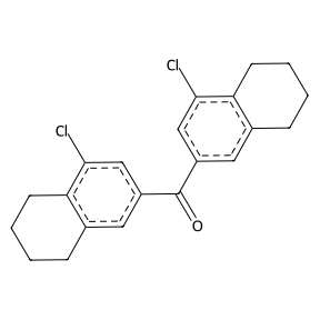 O=C(c1cc(Cl)c2c(c1)CCCC2)c1cc(Cl)c2c(c1)CCCC2